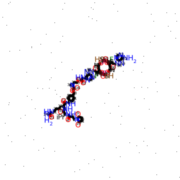 CC(C)[C@H](NC(=O)CCN1C(=O)C=CC1=O)C(=O)N[C@@H](CCCCNC(N)=O)C(=O)Nc1ccc(COC(=O)N(C)CCOC(=O)Nc2ncnc3c2ncn3[C@@H]2O[C@@H]3CO[P@@](=O)(S)O[C@H]4[C@@H](F)[C@H](n5cnc6c(N)ncnc65)O[C@@H]4CO[P@@](=O)(S)O[C@H]3[C@H]2F)cc1